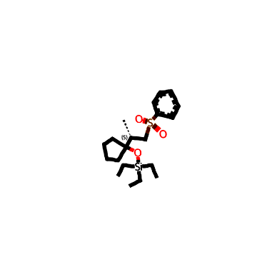 CC[Si](CC)(CC)OC1([C@H](C)CS(=O)(=O)c2ccccc2)CCCC1